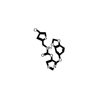 O=C(NCc1cc(Cl)cs1)Oc1cncnc1Oc1ccc2c(c1)OCO2